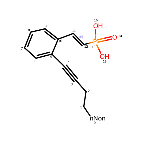 CCCCCCCCCCCC#Cc1ccccc1/C=C/P(=O)(O)O